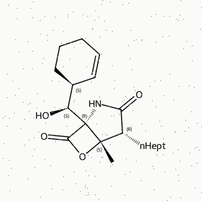 CCCCCCC[C@H]1C(=O)N[C@@]2([C@@H](O)[C@@H]3C=CCCC3)C(=O)O[C@@]12C